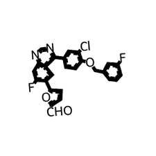 O=Cc1ccc(-c2cc3c(-c4ccc(OCc5cccc(F)c5)c(Cl)c4)ncnc3cc2F)o1